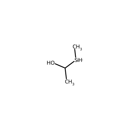 C[SiH]C(C)O